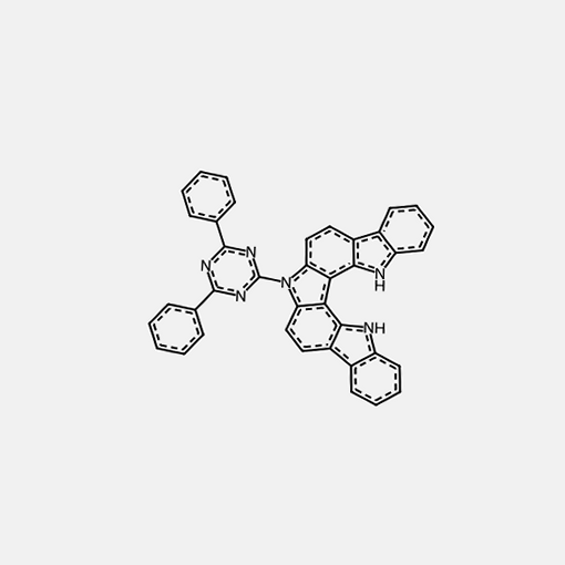 c1ccc(-c2nc(-c3ccccc3)nc(-n3c4ccc5c6ccccc6[nH]c5c4c4c5[nH]c6ccccc6c5ccc43)n2)cc1